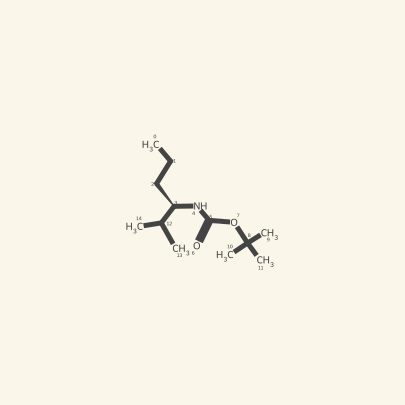 CCC[C@@H](NC(=O)OC(C)(C)C)C(C)C